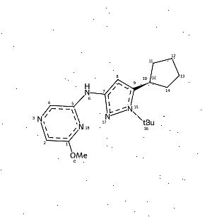 COc1cncc(Nc2cc([C@H]3C[CH]CC3)n(C(C)(C)C)n2)n1